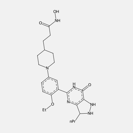 CCCC1NNc2c1nc(-c1cc(N3CCC(CCC(=O)NO)CC3)ccc1OCC)[nH]c2=O